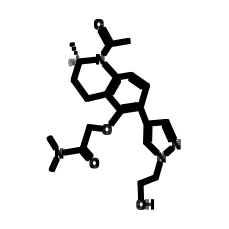 CC(=O)N1c2ccc(-c3cnn(CCO)c3)c(OCC(=O)N(C)C)c2CC[C@@H]1C